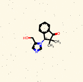 CC1(C)C(=O)c2ccccc2[C@@H]1n1cncc1CO